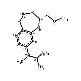 COC[C@H]1CNCc2ncc(N(C)C(C)C)nc2O1